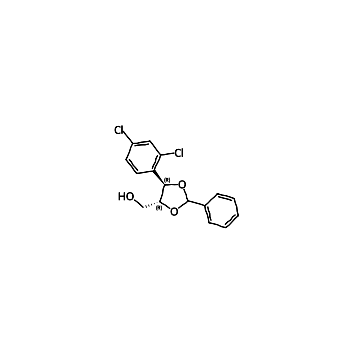 OC[C@H]1OC(c2ccccc2)O[C@@H]1c1ccc(Cl)cc1Cl